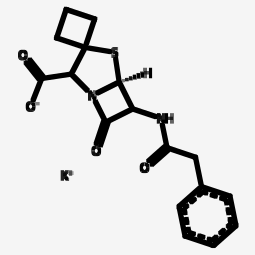 O=C(Cc1ccccc1)NC1C(=O)N2C(C(=O)[O-])C3(CCC3)S[C@@H]12.[K+]